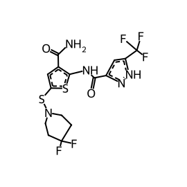 NC(=O)c1cc(SN2CCC(F)(F)CC2)sc1NC(=O)c1cc(C(F)(F)F)[nH]n1